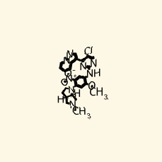 COc1cc(N2CC[C@@H]3CN(C)C[C@@H]32)c([N+](=O)[O-])cc1Nc1ncc(Cl)c(-c2cnn3ccccc23)n1